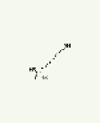 CCCCCCC(S)CCCCCCCCCCCS